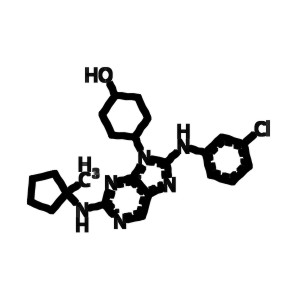 CC1(Nc2ncc3nc(Nc4cccc(Cl)c4)n(C4CCC(O)CC4)c3n2)CCCC1